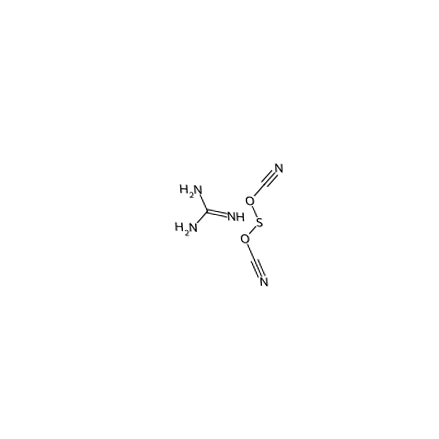 N#COSOC#N.N=C(N)N